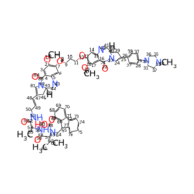 COc1cc2c(cc1OCCCOc1cc3c(cc1OC)C(=O)N1C=C(c4ccc(N5CCN(C)CC5)cc4)C[C@H]1C=N3)N=C[C@@H]1CC(/C=C/CNC(=O)[C@H](C)NC(=O)[C@@H](C(C)C)N(CC3c4ccccc4-c4ccccc43)C(=O)O)=CN1C2=O